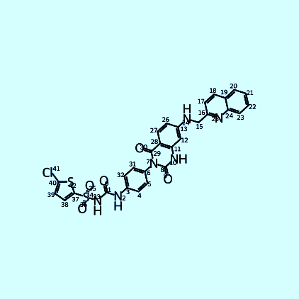 O=C(Nc1ccc(-n2c(=O)[nH]c3cc(NCc4ccc5ccccc5n4)ccc3c2=O)cc1)NS(=O)(=O)c1ccc(Cl)s1